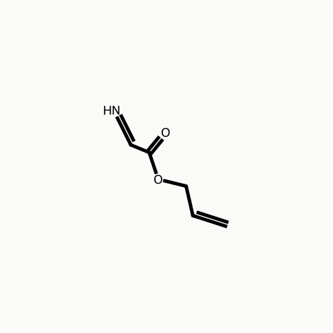 C=CCOC(=O)C=N